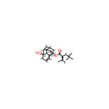 CC(C)=C(CC(C)(C)C)C(=O)OC12CC3CC4C1CC1CC2C(C3)C4(O)C1